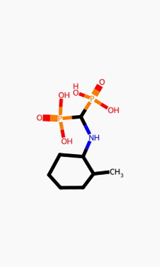 CC1CCCCC1NC(P(=O)(O)O)P(=O)(O)O